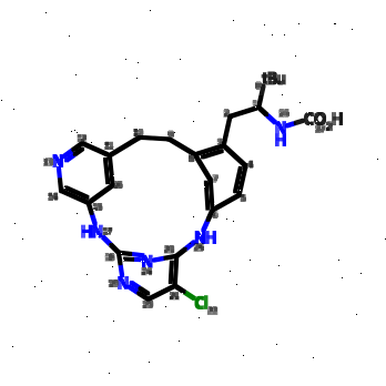 CC(C)(C)C(Cc1ccc2cc1CCc1cncc(c1)Nc1ncc(Cl)c(n1)N2)NC(=O)O